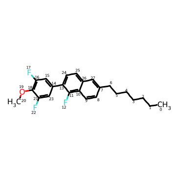 CCCCCCCc1ccc2c(F)c(-c3cc(F)c(OC)c(F)c3)ccc2c1